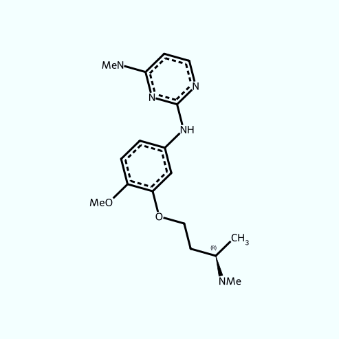 CNc1ccnc(Nc2ccc(OC)c(OCC[C@@H](C)NC)c2)n1